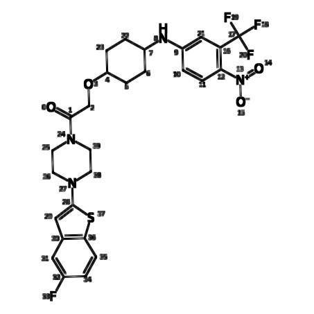 O=C(COC1CCC(Nc2ccc([N+](=O)[O-])c(C(F)(F)F)c2)CC1)N1CCN(c2cc3cc(F)ccc3s2)CC1